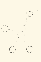 CC(C)c1cnc(N2CCC[C@H](CN3C[C@H](OCc4ccccc4)C(OCc4ccccc4)[C@H](OCc4ccccc4)C3)C2)s1